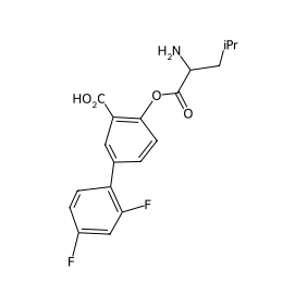 CC(C)CC(N)C(=O)Oc1ccc(-c2ccc(F)cc2F)cc1C(=O)O